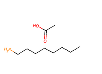 CC(=O)O.CCCCCCCCP